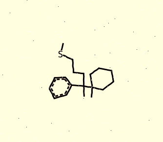 CSCCCC(C)(c1ccccc1)C1(C)CCCCC1